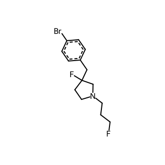 FCCCN1CCC(F)(Cc2ccc(Br)cc2)C1